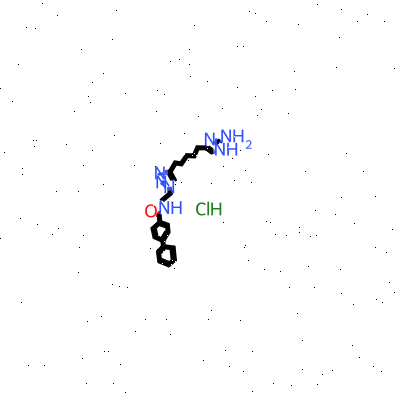 Cl.Nc1nc(CCCCCc2cn(CCNC(=O)c3ccc(-c4ccccc4)cc3)nn2)c[nH]1